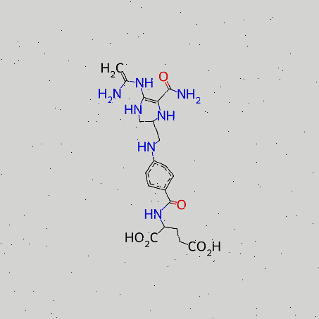 C=C(N)NC1=C(C(N)=O)NC(CNc2ccc(C(=O)NC(CCC(=O)O)C(=O)O)cc2)CN1